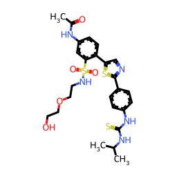 CC(=O)Nc1ccc(-c2cnc(-c3ccc(NC(=S)NC(C)C)cc3)s2)c(S(=O)(=O)NCCOCCO)c1